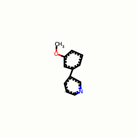 COc1cccc(-c2c[c]cnc2)c1